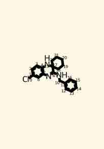 Clc1ccc2c(c1)N=C(NCc1ccccc1)C1(CCCCC1)N2